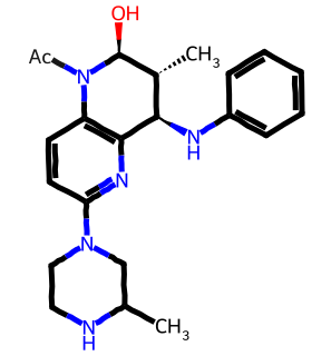 CC(=O)N1c2ccc(N3CCNC(C)C3)nc2[C@H](Nc2ccccc2)[C@@H](C)[C@@H]1O